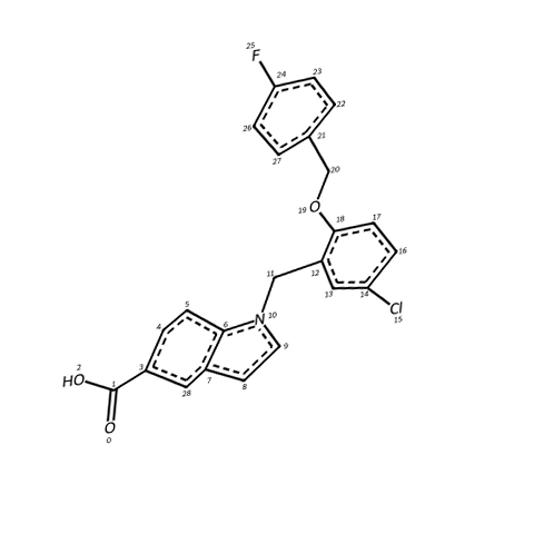 O=C(O)c1ccc2c(ccn2Cc2cc(Cl)ccc2OCc2ccc(F)cc2)c1